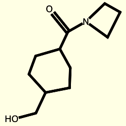 O=C(C1CCC(CO)CC1)N1CCC1